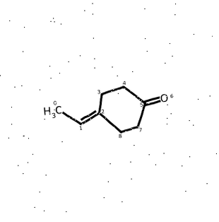 CC=C1CCC(=O)CC1